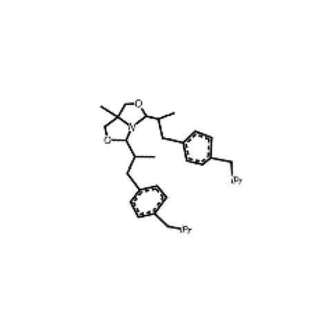 CC(C)Cc1ccc(CC(C)C2OCC3(C)COC(C(C)Cc4ccc(CC(C)C)cc4)N23)cc1